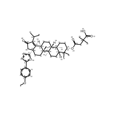 COc1ccc(-c2nnc([C@@]34CC[C@]5(C)[C@H](CC[C@@H]6[C@@]7(C)CC[C@H](OC(=O)CC(C)(C)C(=O)O)C(C)(C)[C@@H]7CC[C@]65C)C3=C(C(C)C)C(=O)C4)o2)cc1